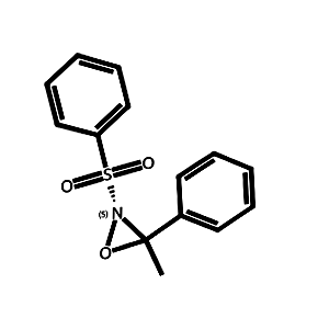 CC1(c2ccccc2)O[N@]1S(=O)(=O)c1ccccc1